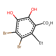 CCc1c(Br)c(Br)c(O)c(O)c1C(=O)O